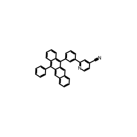 N#Cc1ccnc(-c2cccc(-c3c4ccccc4c(-c4ccccc4)c4cc5ccccc5cc34)c2)c1